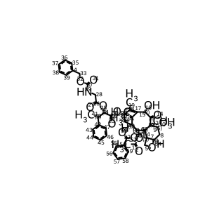 CC(=O)O[C@@]12CO[C@@H]1C[C@H](O)[C@@]1(C)C(=O)[C@H](O)C3=C(C)[C@@H](OC(=O)[C@H](OC(=O)CNC(=O)OCc4ccccc4)[C@@H](C)c4ccccc4)C[C@H]([C@@H](OC(=O)c4ccccc4)[C@H]21)C3(C)C